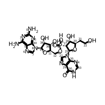 Nc1nc(N)c2ncn([C@@H]3O[C@H](COP(=O)(O)[C@@H]4[C@H](O)[C@@H](CCO)O[C@H]4n4cnc5c(=O)[nH]cnc54)[C@@H](O)[C@H]3O)c2n1